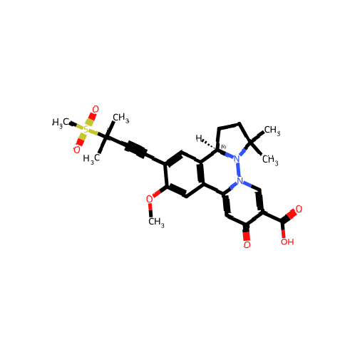 COc1cc2c(cc1C#CC(C)(C)S(C)(=O)=O)[C@H]1CCC(C)(C)N1n1cc(C(=O)O)c(=O)cc1-2